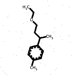 CCOCCC(C)c1ccc(C)cc1